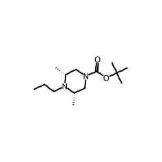 CCCN1[C@H](C)CN(C(=O)OC(C)(C)C)C[C@@H]1C